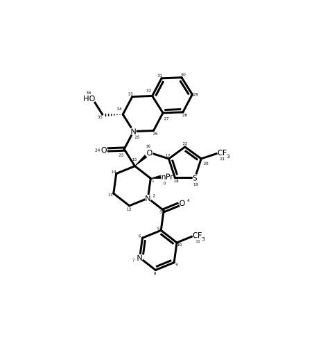 CCC[C@H]1N(C(=O)c2cnccc2C(F)(F)F)CCC[C@]1(Oc1csc(C(F)(F)F)c1)C(=O)N1Cc2ccccc2C[C@H]1CO